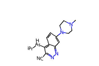 CC(C)[AsH]c1c(C#N)nnc2cc(N3CCN(C)CC3)ccc12